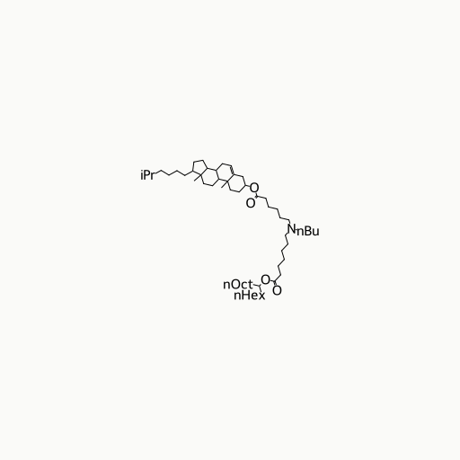 CCCCCCCCC(CCCCCC)OC(=O)CCCCCCN(CCCC)CCCCCC(=O)OC1CCC2(C)C(=CCC3C2CCC2(C)C(CCCCC(C)C)CCC32)C1